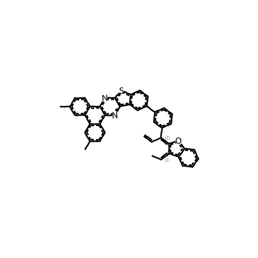 C=C/C(c1cccc(-c2ccc3sc4nc5c6ccc(C)cc6c6cc(C)ccc6c5nc4c3c2)c1)=c1/oc2ccccc2/c1=C/C